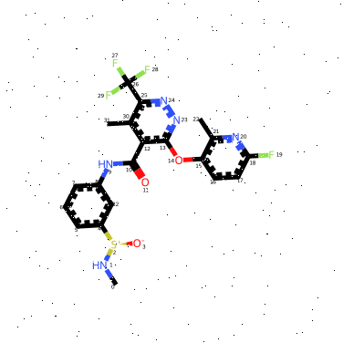 CN[S@+]([O-])c1cccc(NC(=O)c2c(Oc3ccc(F)nc3C)nnc(C(F)(F)F)c2C)c1